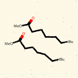 COC(=O)CCCCCC(C)(C)C.COC(=O)CCCCCC(C)(C)C